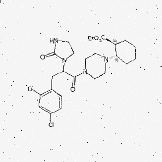 CCOC(=O)[C@H]1CCCC[C@@H]1N1CCN(C(=O)C(Cc2ccc(Cl)cc2Cl)N2CCNC2=O)CC1